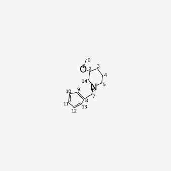 COC1CCCN(Cc2ccccc2)C1